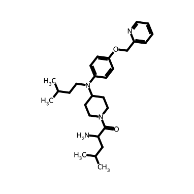 CC(C)CCN(c1ccc(OCc2ccccn2)cc1)C1CCN(C(=O)C(N)CC(C)C)CC1